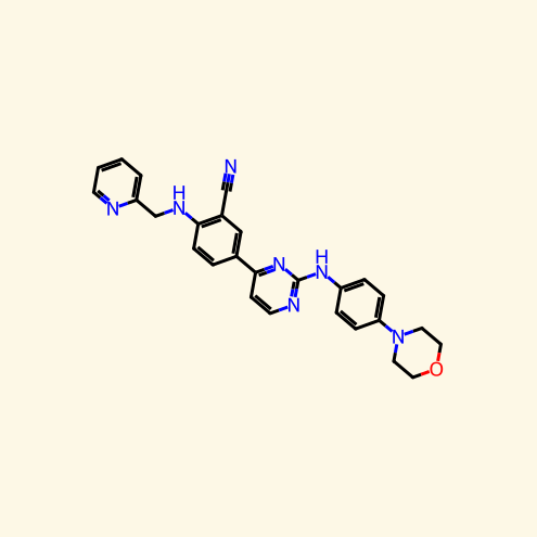 N#Cc1cc(-c2ccnc(Nc3ccc(N4CCOCC4)cc3)n2)ccc1NCc1ccccn1